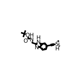 C[SiH](C)C#Cc1ccc2nc(CNC(=O)OC(C)(C)C)[nH]c2c1